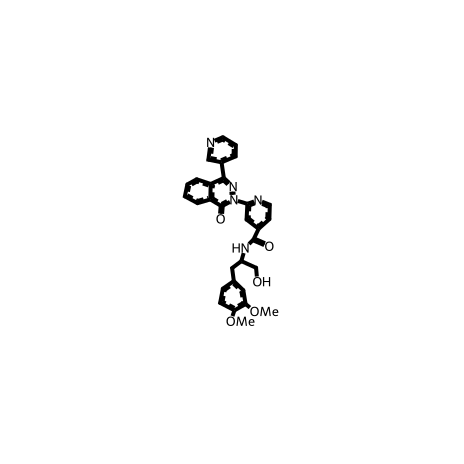 COc1ccc(CC(CO)NC(=O)c2ccnc(-n3nc(-c4cccnc4)c4ccccc4c3=O)c2)cc1OC